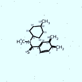 C=c1ccc(C(=S)N(C)C2CCC(C)CC2)cc1=C